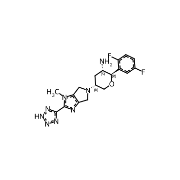 Cn1c(-c2nn[nH]n2)nc2c1CN([C@H]1CO[C@H](c3cc(F)ccc3F)[C@@H](N)C1)C2